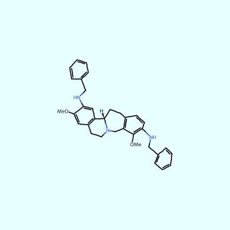 COc1cc2c(cc1NCc1ccccc1)[C@@H]1CCc3ccc(NCc4ccccc4)c(OC)c3CN1CC2